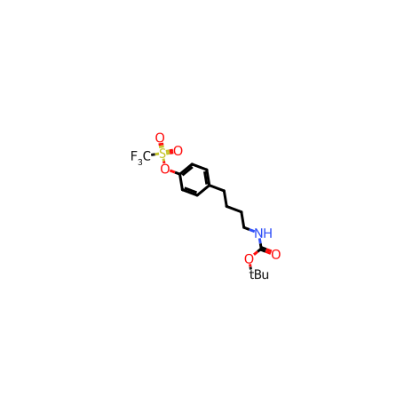 CC(C)(C)OC(=O)NCCCCc1ccc(OS(=O)(=O)C(F)(F)F)cc1